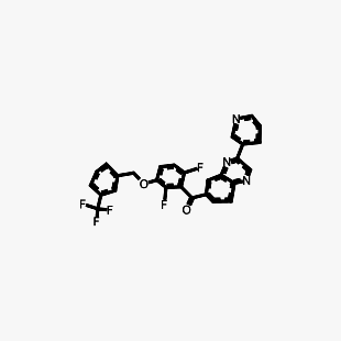 O=C(c1ccc2ncc(-c3cccnc3)nc2c1)c1c(F)ccc(OCc2cccc(C(F)(F)F)c2)c1F